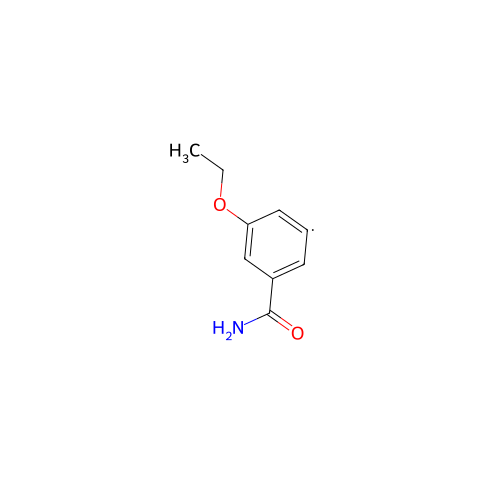 CCOc1c[c]cc(C(N)=O)c1